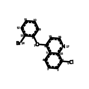 Clc1cccc2c(Oc3ccccc3Br)ccnc12